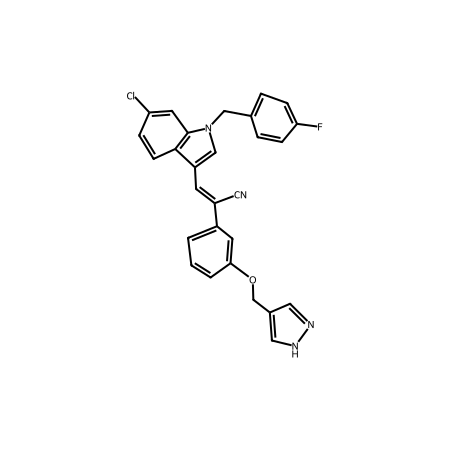 N#C/C(=C\c1cn(Cc2ccc(F)cc2)c2cc(Cl)ccc12)c1cccc(OCc2cn[nH]c2)c1